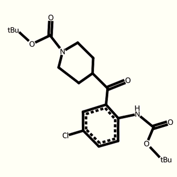 CC(C)(C)OC(=O)Nc1ccc(Cl)cc1C(=O)C1CCN(C(=O)OC(C)(C)C)CC1